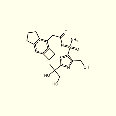 CC(O)(CO)c1nc(CO)c(S(N)(=O)=NC(=O)Cc2c3c(cc4c2CC4)CCC3)s1